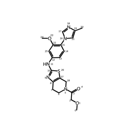 COCC(=O)N1CCc2nc(Nc3ccc(-n4cnc(C)c4)c(OC)c3)sc2C1